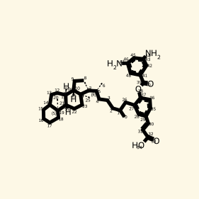 CC(CCC[C@@H](C)[C@H]1CC[C@H]2[C@@H]3CCC4CCCC[C@]4(C)[C@H]3CC[C@]12C)Cc1cc(C=CC(=O)O)ccc1OC(=O)c1cc(N)cc(N)c1